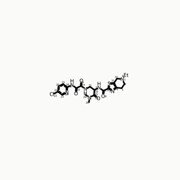 CCN1CCc2nc(C(=O)NC(CNC(=O)C(=O)Nc3ccc(Cl)cn3)C(=O)N(C)C)sc2C1